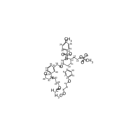 COCCCOc1ccc([C@H]2C[C@H](CCOS(C)(=O)=O)N(S(=O)(=O)c3ccc(C)cc3)C[C@@H]2OCc2ccc3c(c2)N(CCCOC)CCO3)cc1